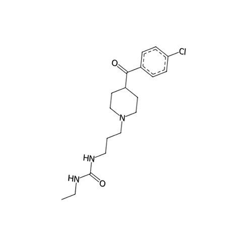 CCNC(=O)NCCCN1CCC(C(=O)c2ccc(Cl)cc2)CC1